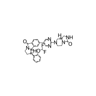 O=C1NC[C@@H]2CN(c3ncc(-c4ccc5c(c4)[C@H]4[C@@H](c6ccccc6OC(F)F)CCN4C5=O)cn3)CCN12